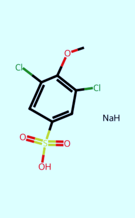 COc1c(Cl)cc(S(=O)(=O)O)cc1Cl.[NaH]